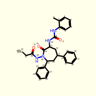 Cc1ccccc1NC(=O)NC1CC(c2ccccc2)CC(c2ccccc2)N(NC(=O)CC(C)(C)C)C1=O